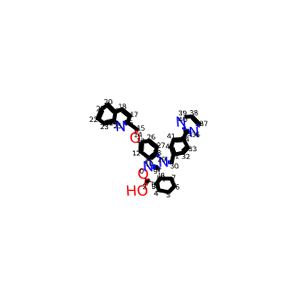 O=C(O)[C@H]1CCCC[C@H]1c1nc2cc(OCc3ccc4ccccc4n3)ccc2n1Cc1ccc(-c2ncccn2)cc1